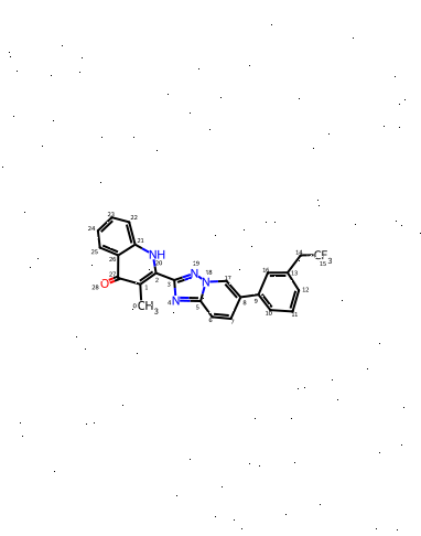 Cc1c(-c2nc3ccc(-c4cccc(CC(F)(F)F)c4)cn3n2)[nH]c2ccccc2c1=O